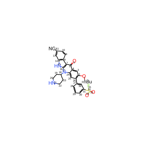 CCCCOc1cc2c(=O)c3c4ccc(C#N)cc4[nH]c3n(C3CCNCC3)c2cc1-c1cccc(S(=O)(=O)F)c1